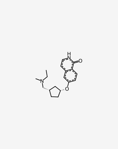 CCN(C)C[C@H]1CC[C@@H](Oc2ccc3c(=O)[nH]ccc3c2)C1